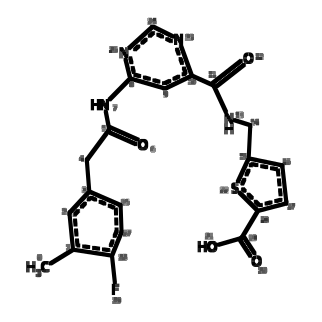 Cc1cc(CC(=O)Nc2cc(C(=O)NCc3ccc(C(=O)O)s3)ncn2)ccc1F